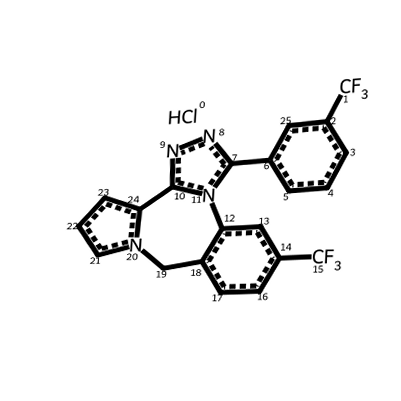 Cl.FC(F)(F)c1cccc(-c2nnc3n2-c2cc(C(F)(F)F)ccc2Cn2cccc2-3)c1